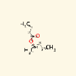 CCCC(=O)O[C@H](C)CCC